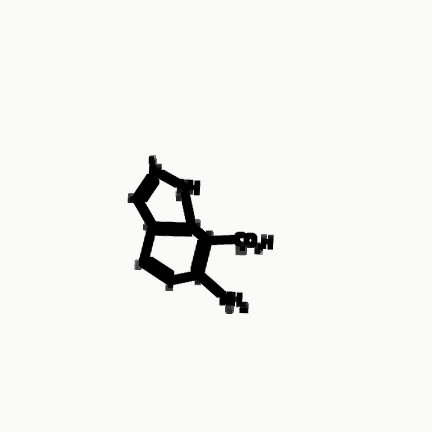 Nc1ccc2cn[nH]c2c1C(=O)O